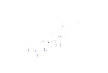 CC(C)(CO)C(=O)OC[C@H]1O[C@@H](n2ccc(NO)nc2=O)[C@H](O)[C@@H]1O